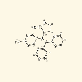 N#Cc1ccc(C(C(c2cccnc2)c2cccnc2)N2CCOC2=O)cc1